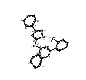 FC(F)(F)c1ccccc1-c1nc(Nc2cc(-c3ccccc3)n[nH]2)c2ccccc2n1